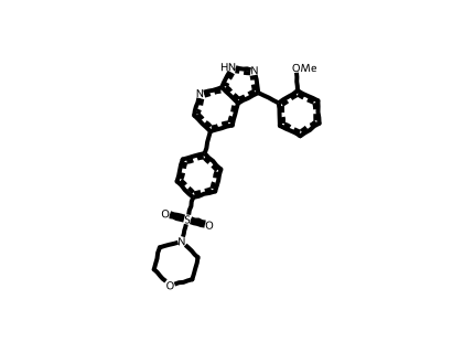 COc1ccccc1-c1n[nH]c2ncc(-c3ccc(S(=O)(=O)N4CCOCC4)cc3)cc12